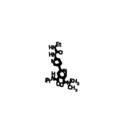 CCNC(=O)Nc1ccc(-c2cc(C(=O)NC(C)C)c(C(=O)N(C)C)cn2)cn1